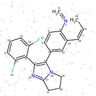 C=Nc1ccc(-c2c(-c3c(F)cccc3F)nc3n2CCC3)cc1/C=C\C